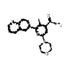 Cc1c(C(N)=O)cc(N2CCOCC2)nc1-c1ccc2ncccc2c1